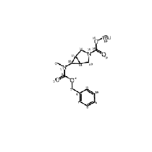 CN(C(=O)OCc1ccccc1)C1C2CN(C(=O)OC(C)(C)C)CC21